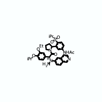 CCOc1cc([C@H](C(=O)N2CCCC2c2cc(NC(C)=O)ccc2S(=O)(=O)C(C)C)N(N)c2ccc3cnccc3c2)ccc1OC(C)C